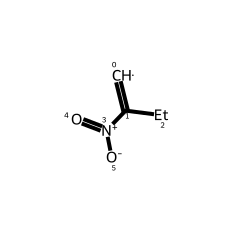 [CH]=C(CC)[N+](=O)[O-]